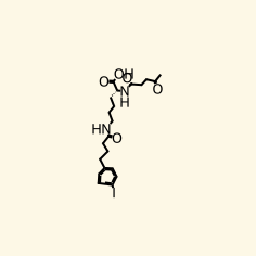 CC(=O)CCC(=O)N[C@H](CCCCNC(=O)CCCc1ccc(I)cc1)C(=O)O